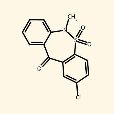 CN1c2ccccc2C(=O)c2cc(Cl)ccc2S1(=O)=O